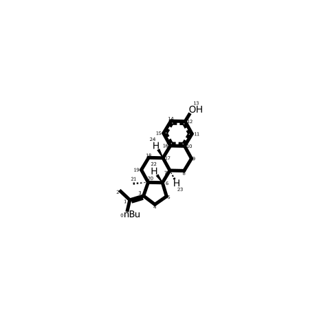 CCCCC(C)=C1CC[C@H]2[C@@H]3CCc4cc(O)ccc4[C@H]3CC[C@]12C